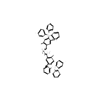 Cc1cc([Si](c2ccccc2)(c2ccccc2)c2ccccc2)c(C)cc1-c1nnc(-c2cc(C)c([Si](c3ccccc3)(c3ccccc3)c3ccccc3)cc2C)o1